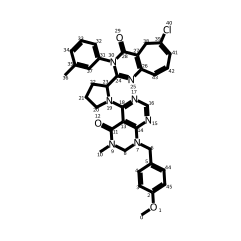 COc1ccc(CN2CN(C)C(=O)c3c2ncnc3N2CCCC2c2nc3c(c(=O)n2-c2cccc(C)c2)CC(Cl)=CC=C3)cc1